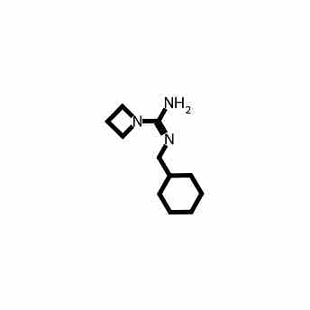 NC(=NCC1CCCCC1)N1CCC1